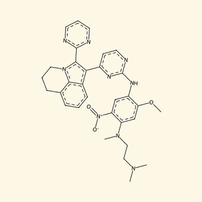 COc1cc(N(C)CCN(C)C)c([N+](=O)[O-])cc1Nc1nccc(-c2c(-c3ncccn3)n3c4c(cccc24)CCC3)n1